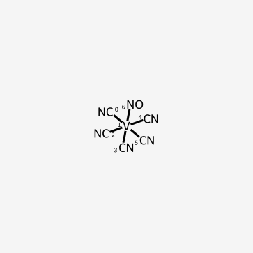 N#[C][V]([C]#N)([C]#N)([C]#N)([C]#N)[N]=O